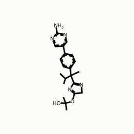 CC(C)C(C)(C1=NCC(OC(C)(C)O)=N1)c1ccc(-c2cnc(N)nc2)cc1